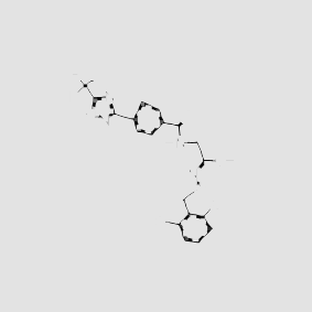 CC(CNC(=O)c1ccc(-c2noc(C(F)(F)F)n2)cc1)=NOCc1c(Cl)cccc1Cl